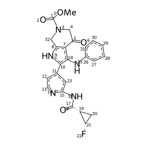 COC(=O)N1CC(=O)c2c([nH]c(-c3ccnc(NC(=O)[C@@H]4C[C@@H]4F)c3)c2Nc2ccccc2)C1